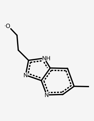 Cc1cnc2nc(CC[O])[nH]c2c1